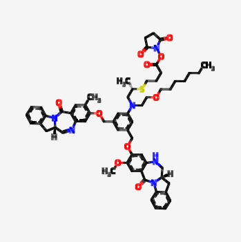 CCCCCCCOCCN(C[C@H](C)SCCCC(=O)ON1C(=O)CCC1=O)c1cc(COc2cc3c(cc2C)C(=O)N2c4ccccc4C[C@H]2C=N3)cc(COc2cc3c(cc2OC)C(=O)N2c4ccccc4C[C@H]2CN3)c1